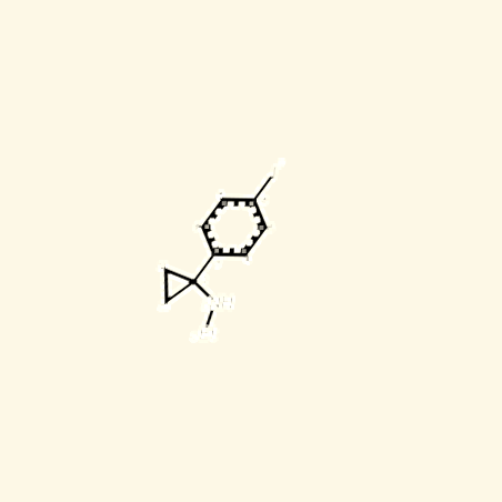 CCNC1(c2ccc(I)cc2)CC1